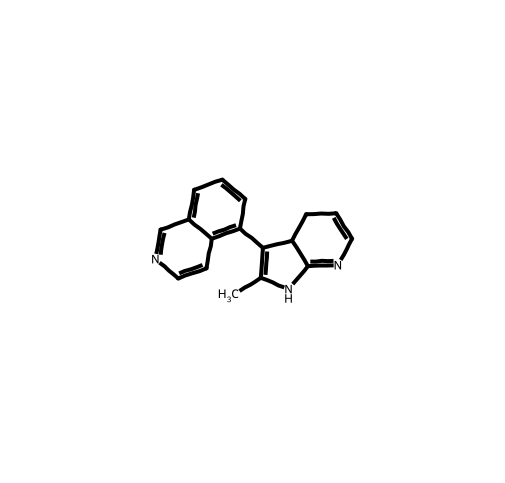 CC1=C(c2cccc3cnccc23)C2CC=CN=C2N1